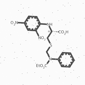 CCOC(=O)N(CSC[C@H](Nc1ccc([N+](=O)[O-])cc1[N+](=O)[O-])C(=O)O)c1ccccc1